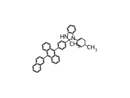 CC1C=CC(N2c3ccccc3NC2(C)c2ccc(-c3c4ccccc4c(-c4ccc5ccccc5c4)c4ccccc34)cc2)=CC1